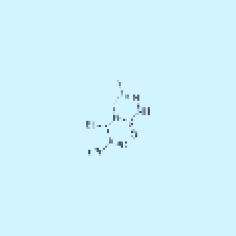 CCCC(=O)N(CC)N1CC(C)=NNC1=O